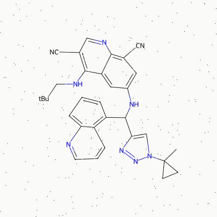 CC(C)(C)CNc1c(C#N)cnc2c(C#N)cc(NC(c3cn(C4(C)CC4)nn3)c3cccc4ncccc34)cc12